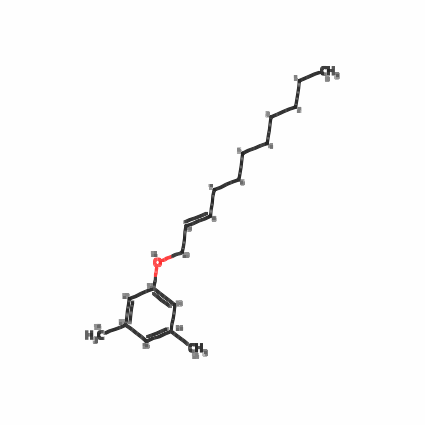 CCCCCCCCC=CCOc1cc(C)cc(C)c1